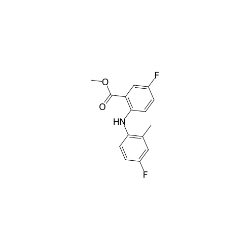 COC(=O)c1cc(F)ccc1Nc1ccc(F)cc1C